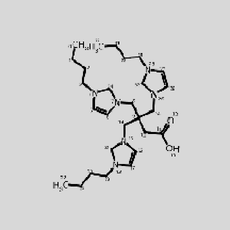 CCCCN1C=CN(CC(CC(=O)O)(CN2C=CN(CCCC)C2)CN2C=CN(CCCC)C2)C1